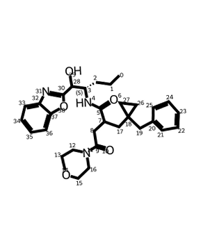 CCC[C@H](NC(=O)C(CC(=O)N1CCOCC1)CC1(Cc2ccccc2)CC1)C(O)c1nc2ccccc2o1